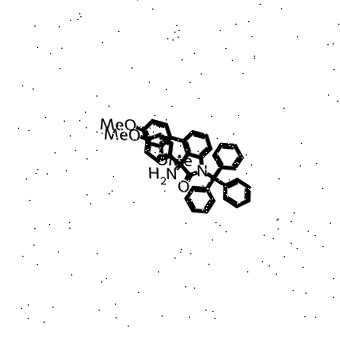 COc1ccc(C2(N)C(=O)N(C(c3ccccc3)(c3ccccc3)c3ccccc3)c3cccc(-c4ccc(OC)cc4OC)c32)cc1